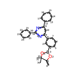 C=C1OB(c2cccc(-c3cc(-c4ccccc4)nc(-c4ccccc4)n3)c2)OC1(C)C